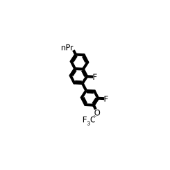 CCCc1ccc2c(F)c(-c3ccc(OC(F)(F)F)c(F)c3)ccc2c1